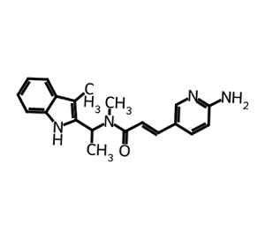 Cc1c(C(C)N(C)C(=O)/C=C/c2ccc(N)nc2)[nH]c2ccccc12